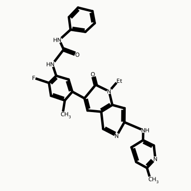 CCn1c(=O)c(-c2cc(NC(=O)Nc3ccccc3)c(F)cc2C)cc2cnc(Nc3ccc(C)nc3)cc21